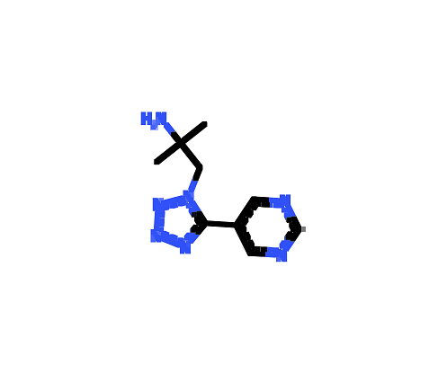 CC(C)(N)Cn1nnnc1-c1cn[c]nc1